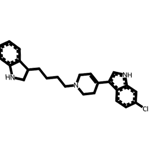 Clc1ccc2c(C3=CCN(CCCCC4CNc5ccccc54)CC3)c[nH]c2c1